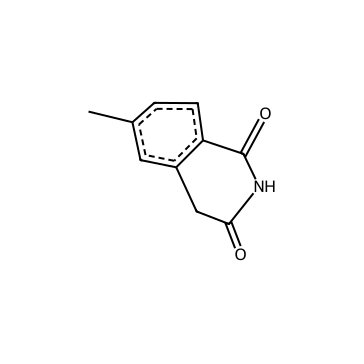 Cc1ccc2c(c1)CC(=O)NC2=O